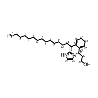 CC(C)CCCCCCCCCCCCCCC1=CCCC=C1C(CCO)[n+]1cc[nH]c1